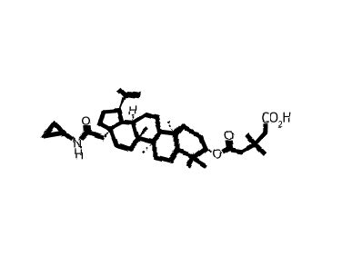 C=C(C)[C@@H]1CC[C@]2(CC(=O)NC3CC3)CC[C@]3(C)[C@H](CCC4[C@@]5(C)CC[C@H](OC(=O)CC(C)(C)CC(=O)O)C(C)(C)C5CC[C@]43C)C12